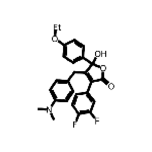 CCOc1ccc(C2(O)OC(=O)C(c3ccc(F)c(F)c3)=C2Cc2ccc(N(C)C)cc2)cc1